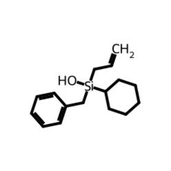 C=CC[Si](O)(Cc1ccccc1)C1CCCCC1